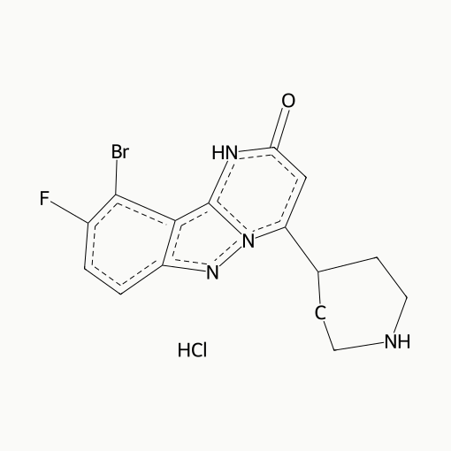 Cl.O=c1cc(C2CCNCC2)n2nc3ccc(F)c(Br)c3c2[nH]1